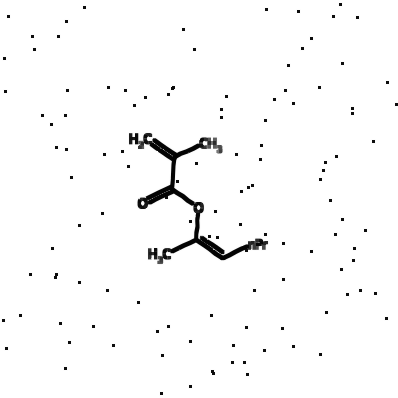 C=C(C)C(=O)OC(C)=CCCC